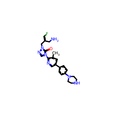 Cc1cc(-c2ccc(N3CCNCC3)cc2)cnc1-n1cnn(C/C(=C/F)CN)c1=O